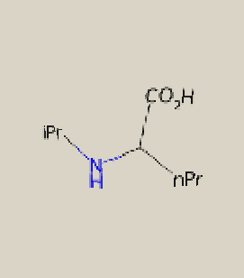 CCCC(NC(C)C)C(=O)O